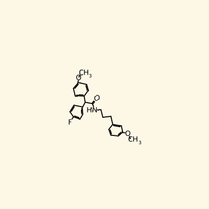 COc1ccc(C(C(=O)NCCCc2cccc(OC)c2)c2ccc(F)cc2)cc1